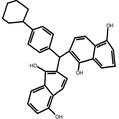 Oc1cccc2c(O)c(C(c3ccc(C4CCCCC4)cc3)c3ccc4c(O)cccc4c3O)ccc12